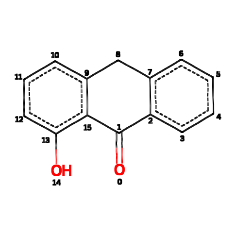 O=C1c2ccccc2Cc2cccc(O)c21